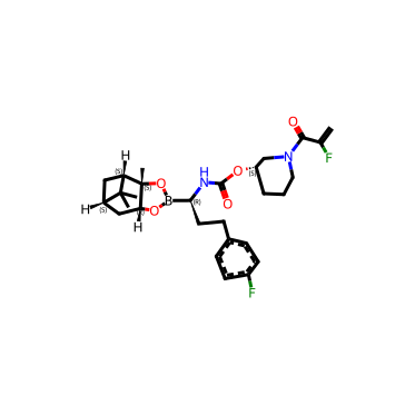 C=C(F)C(=O)N1CCC[C@H](OC(=O)N[C@@H](CCc2ccc(F)cc2)B2O[C@@H]3C[C@@H]4C[C@@H](C4(C)C)[C@]3(C)O2)C1